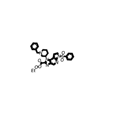 CCOOC(=O)c1nc2cnc3c(ccn3S(=O)(=O)c3ccccc3)c2n1[C@@H]1CCCN(Cc2ccccc2)C1